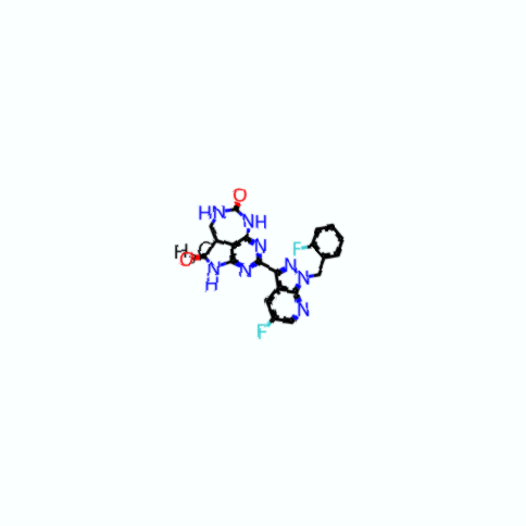 C[C@]12CNC(=O)Nc3nc(-c4nn(Cc5ccccc5F)c5ncc(F)cc45)nc(c31)NC2=O